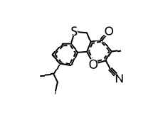 CCC(C)c1ccc2c(c1)-c1oc(C#N)c(C)c(=O)c1CS2